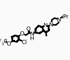 Cc1cc(N2CCN(C(C)C)CC2)nc2ccc(NC(=O)COc3ccc(OC(F)(F)F)cc3Cl)cc12